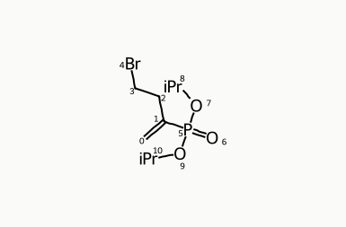 C=C(CCBr)P(=O)(OC(C)C)OC(C)C